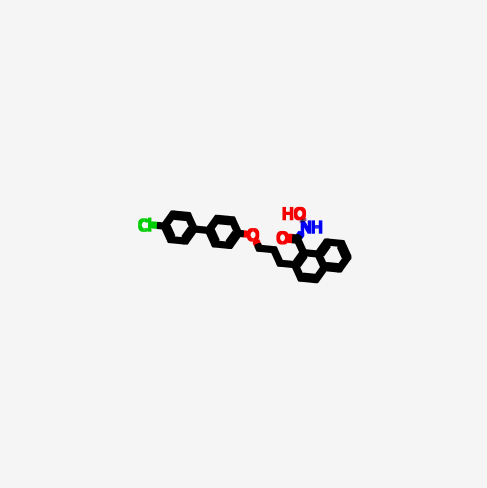 O=C(NO)c1c(CCCOc2ccc(-c3ccc(Cl)cc3)cc2)ccc2ccccc12